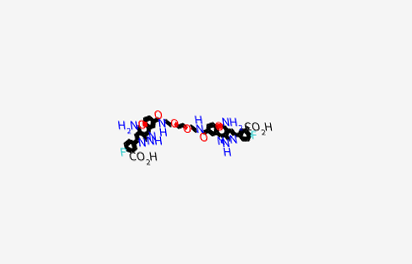 NC(=O)c1cc(-c2ccc(F)c(C(=O)O)c2)nc2[nH]nc(-c3cccc(C(=O)NCCOCCOCCNC(=O)c4cccc(-c5n[nH]c6nc(-c7ccc(F)c(C(=O)O)c7)cc(C(N)=O)c56)c4)c3)c12